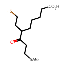 CSCCC(=O)C(CCS)CCCCC(=O)O